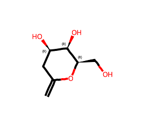 C=C1C[C@@H](O)[C@@H](O)[C@@H](CO)O1